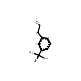 [O]CCc1cccc(C(F)(F)F)c1